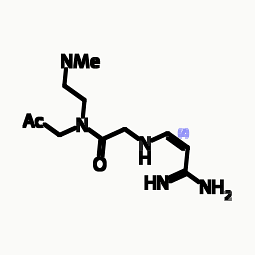 CNCCN(CC(C)=O)C(=O)CN/C=C\C(=N)N